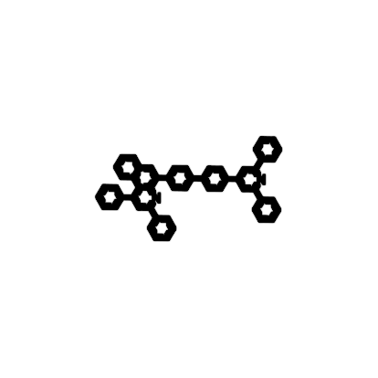 c1ccc(-c2cc(-c3ccc(-c4ccc(-c5cc6ccccc6c6c(-c7ccccc7)cc(-c7ccccc7)nc56)cc4)cc3)cc(-c3ccccc3)n2)cc1